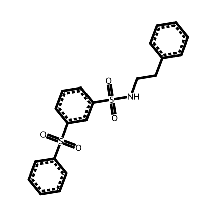 O=S(=O)(NCCc1ccccc1)c1cccc(S(=O)(=O)c2ccccc2)c1